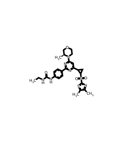 CCNC(=O)Nc1ccc(-c2nc(C3CC3S(=O)(=O)c3nc(C)c(C)s3)cc(N3CCOC[C@@H]3C)n2)cc1